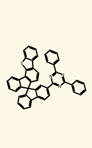 c1ccc(-c2nc(-c3ccccc3)nc(-c3ccc4c(c3)C3(c5ccccc5-4)c4ccccc4-c4c3ccc3c4sc4ccccc43)n2)cc1